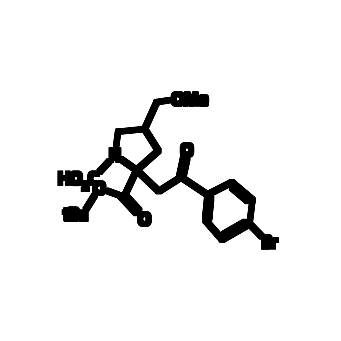 COCC1CN(C(=O)O)C(CC(=O)c2ccc(Br)cc2)(C(=O)OC(C)(C)C)C1